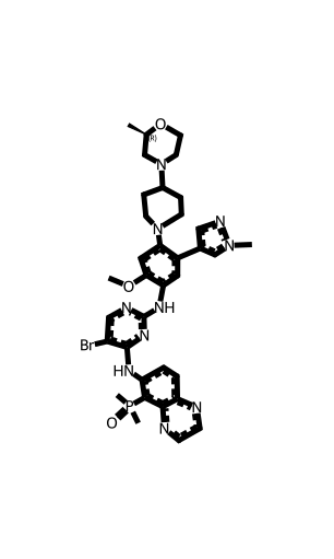 COc1cc(N2CCC(N3CCO[C@H](C)C3)CC2)c(-c2cnn(C)c2)cc1Nc1ncc(Br)c(Nc2ccc3nccnc3c2P(C)(C)=O)n1